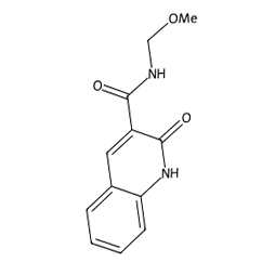 COCNC(=O)c1cc2ccccc2[nH]c1=O